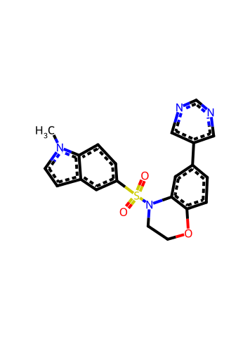 Cn1ccc2cc(S(=O)(=O)N3CCOc4ccc(-c5cncnc5)cc43)ccc21